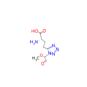 COC(C=O)n1nnnc1CC[C@H](N)C(=O)O